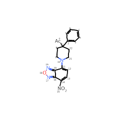 CC(=O)C1(c2ccccc2)CCN(c2ccc([N+](=O)[O-])c3nonc23)CC1